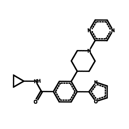 O=C(NC1CC1)c1ccc(-c2ncco2)c(C2CCN(c3cnccn3)CC2)c1